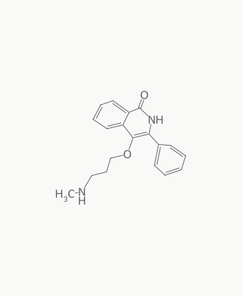 CNCCCOc1c(-c2ccccc2)[nH]c(=O)c2ccccc12